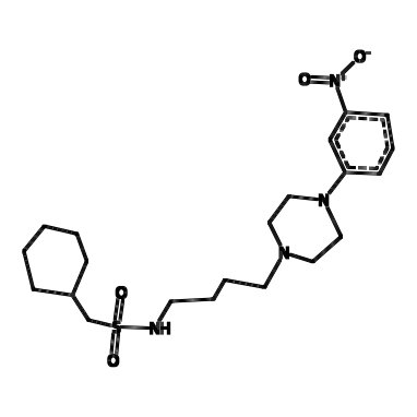 O=[N+]([O-])c1cccc(N2CCN(CCCCNS(=O)(=O)CC3CCCCC3)CC2)c1